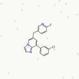 Fc1ccc(Cc2cc(-c3cccc(Cl)c3)c3nccn3c2)cn1